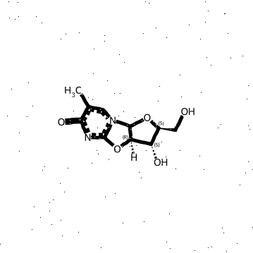 Cc1cn2c(nc1=O)O[C@H]1C2O[C@@H](CO)[C@@H]1O